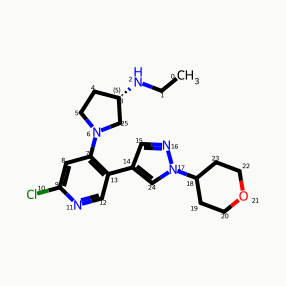 CCN[C@H]1CCN(c2cc(Cl)ncc2-c2cnn(C3CCOCC3)c2)C1